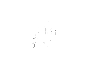 C[C@H](N)C(=O)NC(CO)CO[C@@H](C)C(=O)NC(Cc1ccccc1)C(=O)O